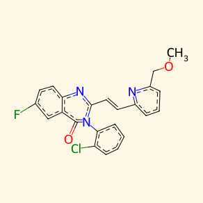 COCc1cccc(/C=C/c2nc3ccc(F)cc3c(=O)n2-c2ccccc2Cl)n1